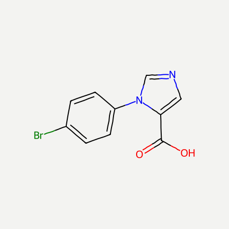 O=C(O)c1cncn1-c1ccc(Br)cc1